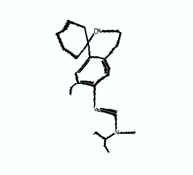 Cc1cc2c(cc1/N=C/N(C)C(C)C)CCOC21CCCCC1